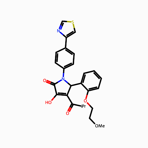 COCCOc1ccccc1C1C(C(=O)C(C)C)=C(O)C(=O)N1c1ccc(-c2cscn2)cc1